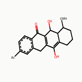 COC1CCCC2=C(O)C3=C(C(=O)c4ccc(C(C)=O)cc4C3)C(O)C21